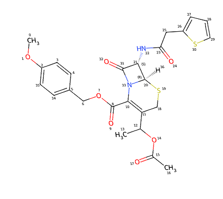 COc1ccc(COC(=O)C2=C(C(C)OC(C)=O)CS[C@@H]3[C@@H](NC(=O)Cc4cccs4)C(=O)N23)cc1